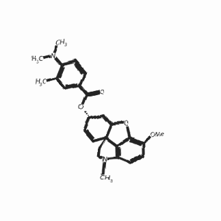 COc1ccc2c3c1OC1C[C@@H](OC(=O)c4ccc(N(C)C)c(C)c4)C=C[C@@]31CCN2C